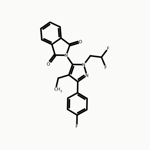 CCc1c(-c2ccc(F)cc2)nn(CC(F)F)c1N1C(=O)c2ccccc2C1=O